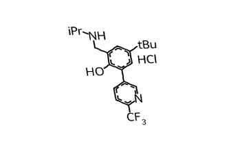 CC(C)NCc1cc(C(C)(C)C)cc(-c2ccc(C(F)(F)F)nc2)c1O.Cl